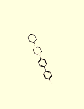 Brc1ccc(-c2ccc(N3CCN(C4CCCCC4)CC3)cc2)cc1